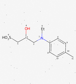 CCN(CC(O)CS(=O)(=O)O)c1ccc(C)cc1